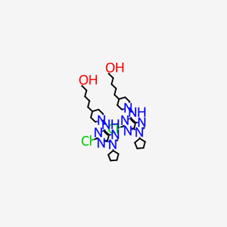 OCCCCCC1CCN(Nc2nc(Cl)nc3c2ncn3C2CCCC2)CC1.OCCCCCC1CCN(Nc2nc(Cl)nc3c2ncn3C2CCCC2)CC1